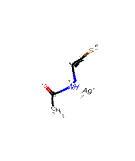 CC(=O)NC=C[S-].[Ag+]